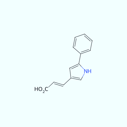 O=C(O)C=Cc1c[nH]c(-c2ccccc2)c1